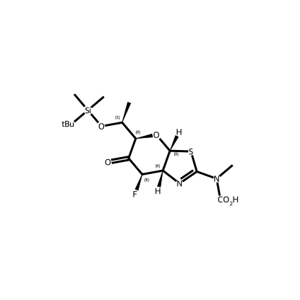 C[C@H](O[Si](C)(C)C(C)(C)C)[C@H]1O[C@@H]2SC(N(C)C(=O)O)=N[C@@H]2[C@@H](F)C1=O